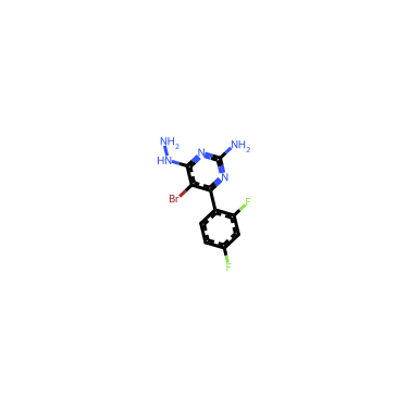 NNc1nc(N)nc(-c2ccc(F)cc2F)c1Br